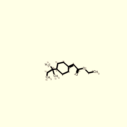 CCOC(=O)C=C1CCC(C(C)(C)CC)CC1